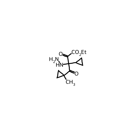 CCOC(=O)C(=O)C(NN)(C(=O)C1(C)CC1)C1CC1